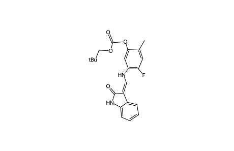 Cc1cc(F)c(NC=C2C(=O)Nc3ccccc32)cc1OC(=O)OCC(C)(C)C